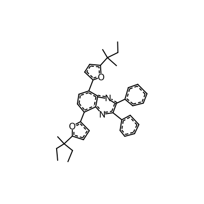 CCC(C)(C)c1ccc(-c2ccc(-c3ccc(C(C)(CC)CC)o3)c3nc(-c4ccccc4)c(-c4ccccc4)nc23)o1